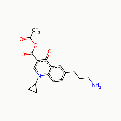 NCCCc1ccc2c(c1)c(=O)c(C(=O)OC(=O)C(F)(F)F)cn2C1CC1